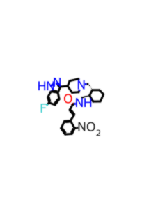 O=C(/C=C/c1ccccc1[N+](=O)[O-])NC[C@@H]1CCCC[C@H]1CN1CCC(c2n[nH]c3cc(F)ccc23)CC1